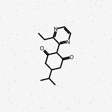 CCc1nccnc1C1C(=O)CC(C(C)C)CC1=O